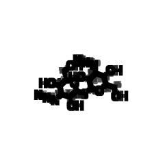 [N-]=[N+]=NC1C(O)[C@@H](CO)OC(S[C@@H]2OC(CO)[C@H](O)C(N=[N+]=[N-])[C@@H]2O)[C@@H]1O